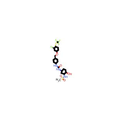 CS(=O)(=O)Nc1cc(NC(=O)Nc2ccc(COc3ccc(SC(F)(F)F)c(F)c3)cc2)ccc1O